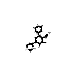 Cc1c(F)c(-c2ccncn2)cc(-c2ccccc2)c1C#N